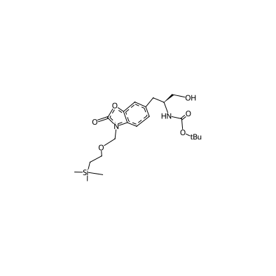 CC(C)(C)OC(=O)N[C@H](CO)Cc1ccc2c(c1)oc(=O)n2COCC[Si](C)(C)C